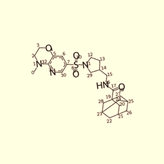 CN1CCOc2cc(S(=O)(=O)N3CCC(CNC(=O)C45CC6CC(CC(C6)C4)C5)C3)cnc21